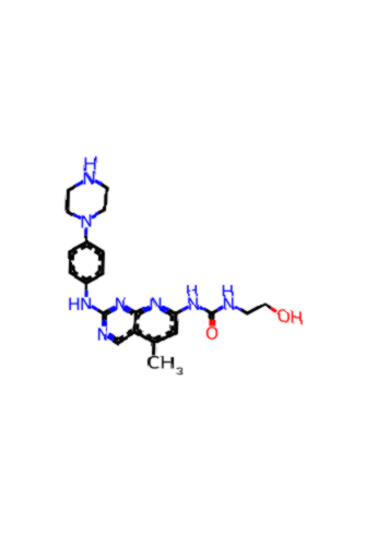 Cc1cc(NC(=O)NCCO)nc2nc(Nc3ccc(N4CCNCC4)cc3)ncc12